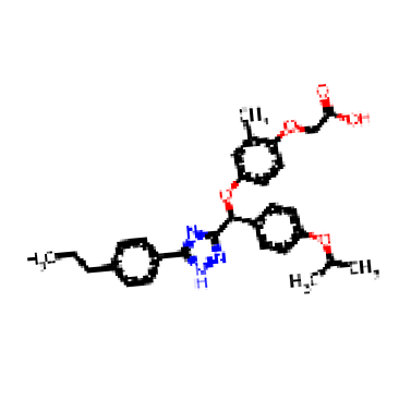 CCCc1ccc(-c2nc(C(Oc3ccc(OCC(=O)O)c(C)c3)c3ccc(OC(C)C)cc3)n[nH]2)cc1